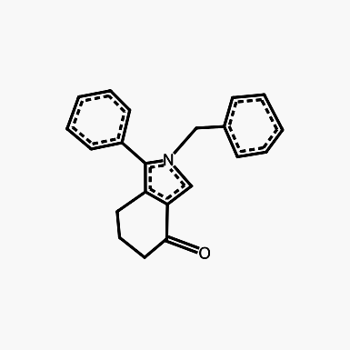 O=C1CCCc2c1cn(Cc1ccccc1)c2-c1ccccc1